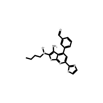 CCCC[S+]([O-])c1sc2nc(-c3nccs3)cc(-c3cccc(C=O)c3)c2c1N